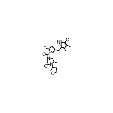 Cc1c(Cc2ccc(F)c(C(=O)N3CC(=O)N(C4CCOC4)C(C)C3)c2)n[nH]c(=O)c1C